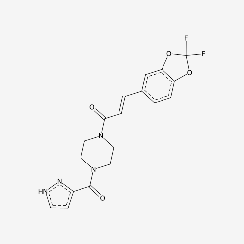 O=C(/C=C/c1ccc2c(c1)OC(F)(F)O2)N1CCN(C(=O)c2cc[nH]n2)CC1